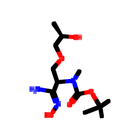 C[C@@H](O)COCC(/C(N)=N/O)N(C)C(=O)OC(C)(C)C